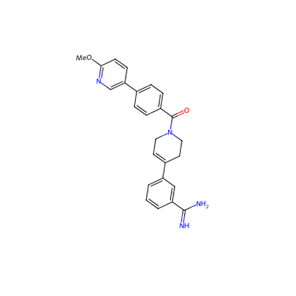 COc1ccc(-c2ccc(C(=O)N3CC=C(c4cccc(C(=N)N)c4)CC3)cc2)cn1